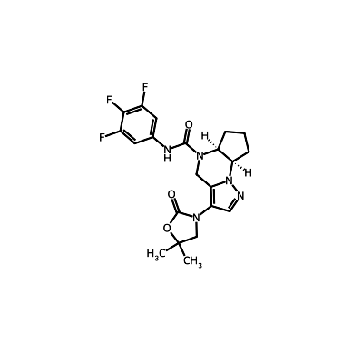 CC1(C)CN(c2cnn3c2CN(C(=O)Nc2cc(F)c(F)c(F)c2)[C@H]2CCC[C@H]23)C(=O)O1